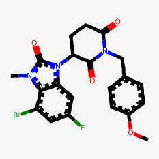 COc1ccc(CN2C(=O)CCC(n3c(=O)n(C)c4c(Br)cc(F)cc43)C2=O)cc1